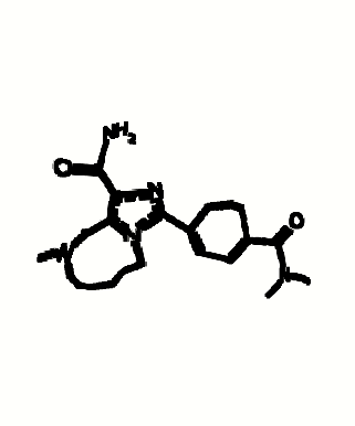 CN1CCCn2c(C3=CC=C(C(=O)N(C)C)CC3)nc(C(N)=O)c2C1